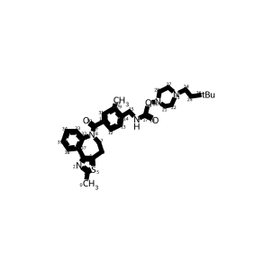 Cc1nc2c(s1)CCN(C(=O)c1ccc(CNC(=O)ON3CCN(CCC(C)(C)C)CC3)c(C)c1)c1ccccc1-2